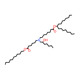 CCCCCCCCCCCOC(=O)CCCCCN(CCCCCCCC(=O)OC(CCCCCCCC)CCCCCCCC)CC(O)CCCCC